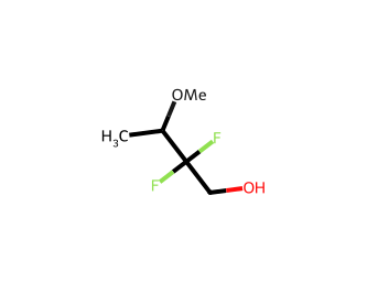 COC(C)C(F)(F)CO